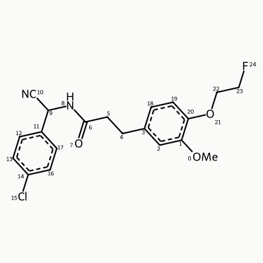 COc1cc(CCC(=O)NC(C#N)c2ccc(Cl)cc2)ccc1OCCF